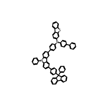 c1ccc(-c2ccc(N(c3ccc(-c4ccc5c(c4)c4cc(-c6ccc(C7(c8ccccc8)c8ccccc8-c8ccccc87)cc6)ccc4n5-c4ccccc4)cc3)c3ccc4c(c3)sc3ccccc34)cc2)cc1